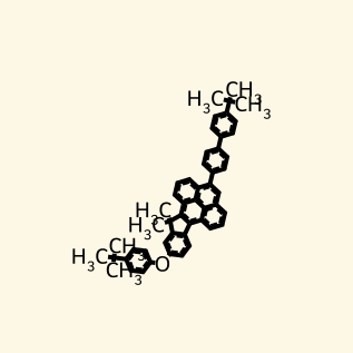 CC(C)(C)c1ccc(Oc2ccc3c(c2)C(C)(C)c2c-3c3cccc4cc(-c5ccc(-c6ccc(C(C)(C)C)cc6)cc5)c5cccc2c5c43)cc1